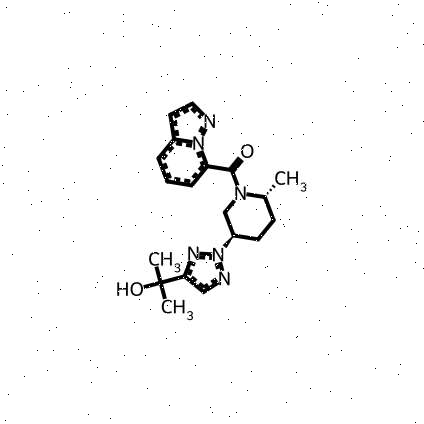 C[C@@H]1CC[C@@H](n2ncc(C(C)(C)O)n2)CN1C(=O)c1cccc2ccnn12